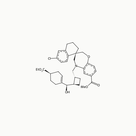 CCOC(=O)[C@H]1CC=C([C@H](O)[C@@H]2CC[C@H]2CN2C[C@@]3(CCCc4cc(Cl)ccc43)COc3ccc(C(=O)OC)cc32)CC1